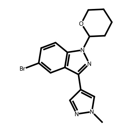 Cn1cc(-c2nn(C3CCCCO3)c3ccc(Br)cc23)cn1